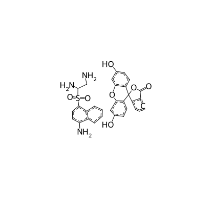 NCC(N)S(=O)(=O)c1ccc(N)c2ccccc12.O=C1OC2(c3ccc(O)cc3Oc3cc(O)ccc32)c2ccccc21